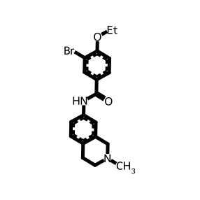 CCOc1ccc(C(=O)Nc2ccc3c(c2)CN(C)CC3)cc1Br